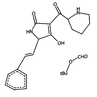 CC(C)(C)OC=O.O=C1NC(C=Cc2ccccc2)C(O)=C1C(=O)C1CCCCN1